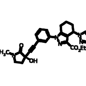 CCOC(=O)c1nn(-c2cccc(C#C[C@]3(O)CCN(C)C3=O)c2)c2c1C(n1cccn1)CCC2